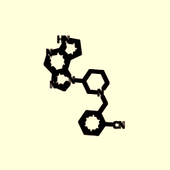 N#Cc1ccccc1CN1CCCC(n2cnc3cnc4[nH]ccc4c32)C1